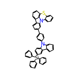 c1ccc([Si](c2ccccc2)(c2ccccc2)c2ccc3c(c2)c2ccccc2n3-c2ccc(-c3ccc4c5cccc6c5n(c4c3)-c3ccccc3S6)cc2)cc1